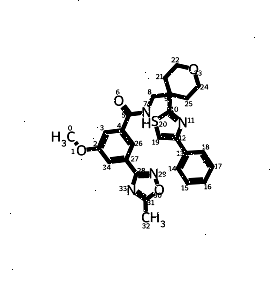 COc1cc(C(=O)NCC2(c3nc(-c4ccccc4)cs3)CCOCC2)cc(-c2noc(C)n2)c1